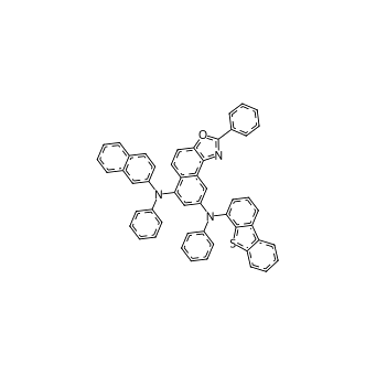 c1ccc(-c2nc3c(ccc4c(N(c5ccccc5)c5ccc6ccccc6c5)cc(N(c5ccccc5)c5cccc6c5sc5ccccc56)cc43)o2)cc1